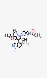 C=CC(=O)N1CC2(CCN(c3nc4c(c(-c5c(C)ccc6[nH]ncc56)c3C#N)COC4(C)C)C2)C1